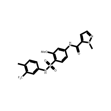 COc1cc(NC(=O)c2ccnn2C)ccc1S(=O)(=O)Nc1ccc(C)c(C(F)(F)F)c1